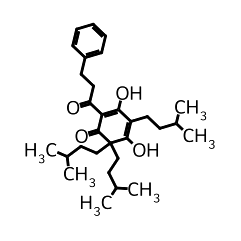 CC(C)CCC1=C(O)C(CCC(C)C)(CCC(C)C)C(=O)C(C(=O)CCc2ccccc2)=C1O